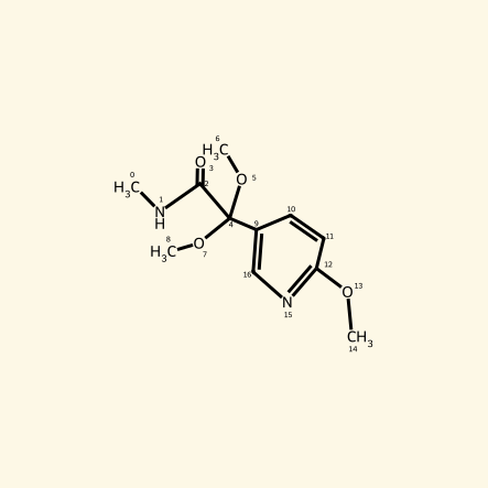 CNC(=O)C(OC)(OC)c1ccc(OC)nc1